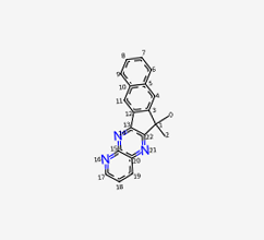 CC1(C)c2cc3ccccc3cc2-c2nc3ncccc3nc21